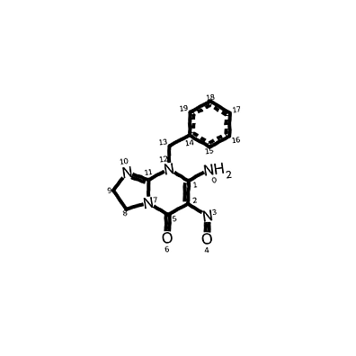 NC1=C(N=O)C(=O)N2CCN=C2N1Cc1ccccc1